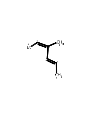 CC=CC(C)=CCC